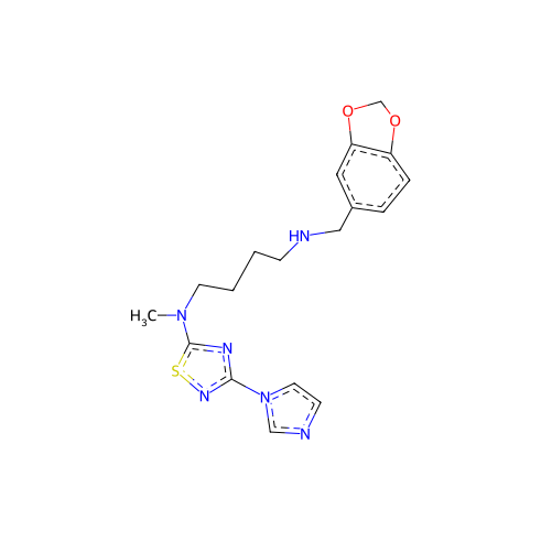 CN(CCCCNCc1ccc2c(c1)OCO2)c1nc(-n2ccnc2)ns1